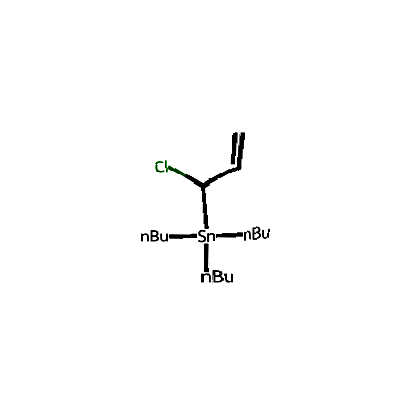 C=C[CH](Cl)[Sn]([CH2]CCC)([CH2]CCC)[CH2]CCC